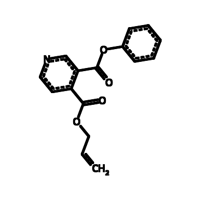 C=CCOC(=O)c1ccncc1C(=O)Oc1ccccc1